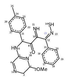 COC1CN=CC(NC(C(=O)C(=N)/C(=N\S)c2ccccc2)c2ccc(C)cc2)=N1